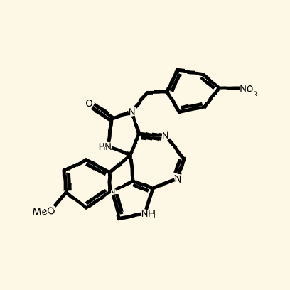 COc1ccc(C23NC(=O)N(Cc4ccc([N+](=O)[O-])cc4)C2=NC=Nc2[nH]cnc23)cc1